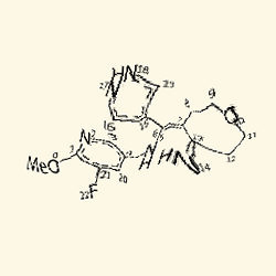 COc1ncc(N/C(=C2/CCOCCC2=N)c2cn[nH]c2)cc1F